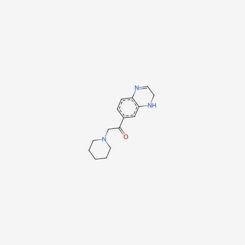 O=C(CN1CCCCC1)c1ccc2c(c1)NCC=N2